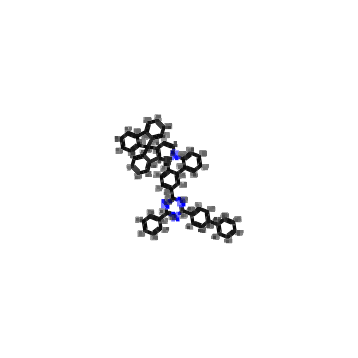 C1=CN2B(C3=C1C1(c4ccccc43)c3ccccc3-c3ccccc31)c1ccc(-c3nc(-c4ccccc4)nc(-c4ccc(-c5ccccc5)cc4)n3)cc1-c1ccccc12